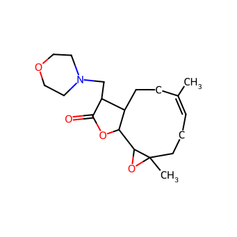 CC1=CCCC2(C)OC2C2OC(=O)C(CN3CCOCC3)C2CC1